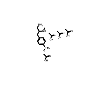 CC(=O)O.CC(=O)O.CC(=O)O.CC(=O)O.CNC(CN)Cc1ccc([N+](=O)[O-])cc1